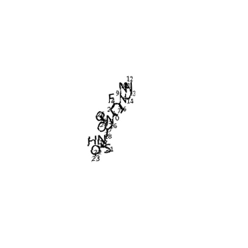 C=C(/C=C(F)\C(=C/C)N1C=NN(C)CC1)N1CC(CNC(=S)OC)OC1=O